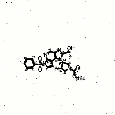 C[C@@H](O)c1nc2cnc3c(ccn3S(=O)(=O)c3ccccc3)c2n1[C@@H]1CN(C(=O)OC(C)(C)C)CC1F